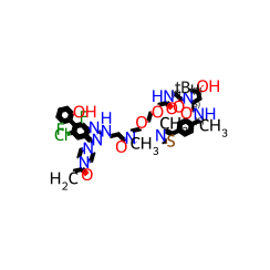 C=CC(=O)N1CCN(c2nc(NCCC(=O)N(C)CCOCCOCC(=O)N[C@H](C(=O)N3C[C@H](O)C[C@H]3C(=O)N[C@@H](C)c3ccc(-c4scnc4C)cc3)C(C)(C)C)nc3c(F)c(-c4c(O)cccc4F)c(Cl)cc23)CC1